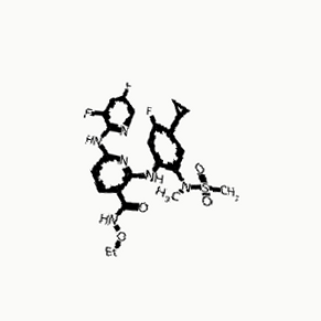 CCONC(=O)c1ccc(Nc2ncc(F)cc2F)nc1Nc1cc(F)c(C2CC2)cc1N(C)S(C)(=O)=O